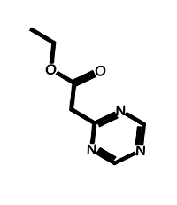 CCOC(=O)Cc1ncncn1